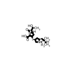 CNC(C)(C)C[C@@H]1C[C@H](SC2=C(C(=O)O)N3C(=O)[C@H]([C@@H](C)O)[C@H]3C2)CN1